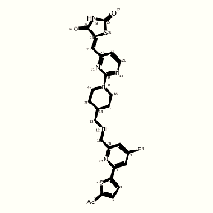 CC(=O)c1ccc(-c2cc(F)cc(CNCC3CCN(c4nccc(/C=C5\SC(=O)NC5=O)n4)CC3)n2)s1